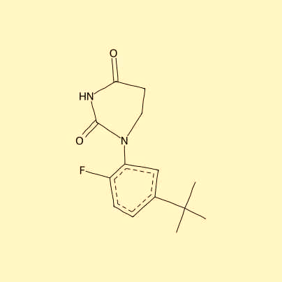 CC(C)(C)c1ccc(F)c(N2CCC(=O)NC2=O)c1